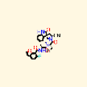 CC(C)C[C@@H](C(=O)N1C[C@]2(C[C@H]1C#N)C(=O)Nc1ccccc12)N(C)C(=O)[C@H](C)NC(=O)c1c(F)ccc2ccoc12